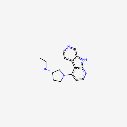 CCN[C@H]1CCN(c2ccnc3[nH]c4cnccc4c23)C1